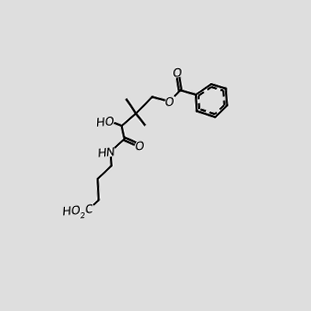 CC(C)(COC(=O)c1ccccc1)C(O)C(=O)NCCCC(=O)O